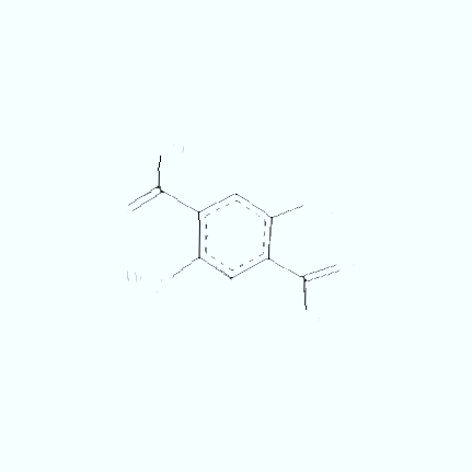 CC(C)(C)C(=O)c1cc(C(=O)O)c(C(=O)C(C)(C)C)cc1C(=O)O